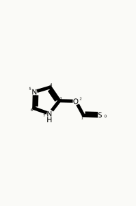 S=COc1cnc[nH]1